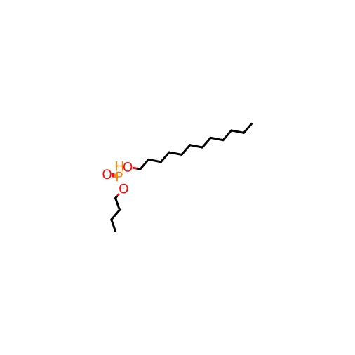 CCCCCCCCCCCCO[PH](=O)OCCCC